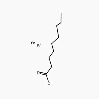 CCCCCCCCC(=O)[O-].[Fe].[K+]